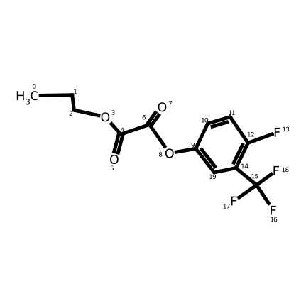 CCCOC(=O)C(=O)Oc1ccc(F)c(C(F)(F)F)c1